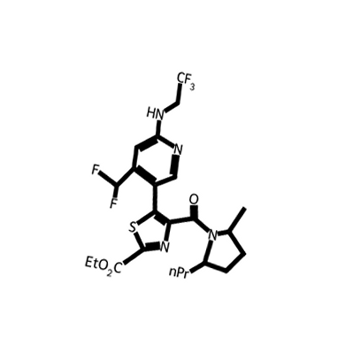 CCCC1CCC(C)N1C(=O)c1nc(C(=O)OCC)sc1-c1cnc(NCC(F)(F)F)cc1C(F)F